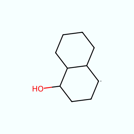 OC1CC[CH]C2CCCCC12